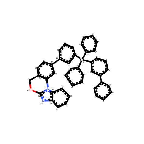 c1ccc(-c2cccc([Si](c3ccccc3)(c3ccccc3)c3cccc(-c4ccc5c(c4)-n4c(nc6ccccc64)OC5)c3)c2)cc1